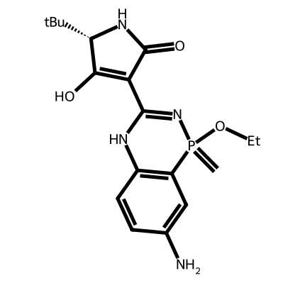 C=P1(OCC)N=C(C2=C(O)[C@H](C(C)(C)C)NC2=O)Nc2ccc(N)cc21